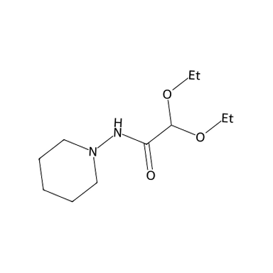 CCOC(OCC)C(=O)NN1CCCCC1